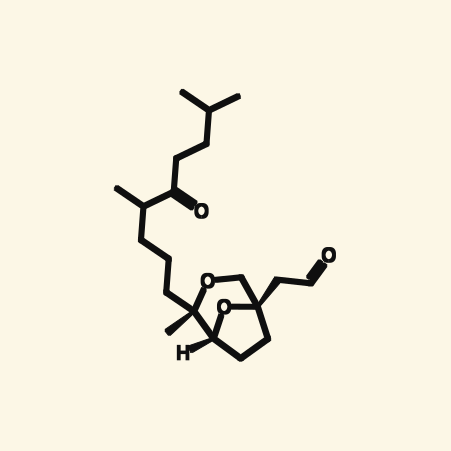 CC(C)CCC(=O)C(C)CCC[C@]1(C)OC[C@]2(CC=O)CC[C@H]1O2